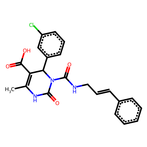 CC1=C(C(=O)O)C(c2cccc(Cl)c2)N(C(=O)NCC=Cc2ccccc2)C(=O)N1